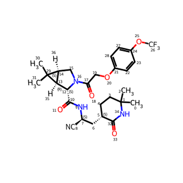 CC1(C)CC[C@@H](C[C@@H](C#N)NC(=O)[C@@H]2[C@@H]3[C@H](CN2C(=O)COc2ccc(OC(F)(F)F)cc2)C3(C)C)C(=O)N1